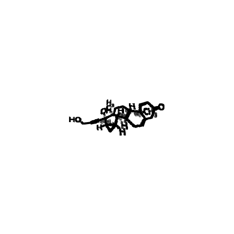 C[C@]12CCC(=O)CC1=CC[C@H]1[C@@H]3[C@@H]4C[C@@H]4[C@@](O)(C#CCO)[C@@]3(C)CC[C@@H]12